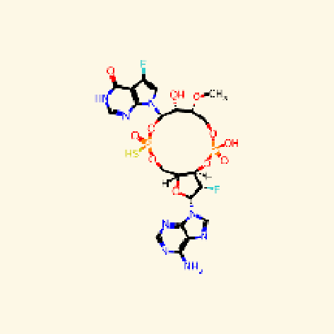 CO[C@@H]1COP(=O)(O)O[C@H]2[C@@H](F)[C@H](n3cnc4c(N)ncnc43)O[C@@H]2COP(=O)(S)O[C@@H](n2cc(F)c3c(=O)[nH]cnc32)[C@@H]1O